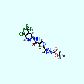 C/C(=N\NC(=O)OC(C)(C)C)c1ncc(C(=O)Nc2cc(C(F)(F)F)c(Cl)cn2)s1